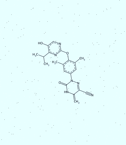 C=C1NC(=O)N(c2cc(C)c(Oc3ncc(O)c(C(C)C)n3)c(C)c2)N=C1C#N